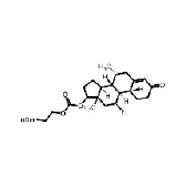 CCCCCCCCCCCCOC(=O)O[C@H]1CC[C@H]2[C@H]3[C@H]([C@@H](CC)C[C@]12C)[C@H]1CCC(=O)C=C1C[C@H]3C